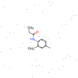 CC(=O)OCC(=O)Nc1ccc(C)cc1C=O